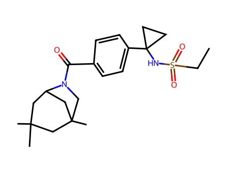 CCS(=O)(=O)NC1(c2ccc(C(=O)N3CC4(C)CC3CC(C)(C)C4)cc2)CC1